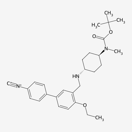 [C-]#[N+]c1ccc(-c2ccc(OCC)c(CN[C@H]3CC[C@H](N(C)C(=O)OC(C)(C)C)CC3)c2)cc1